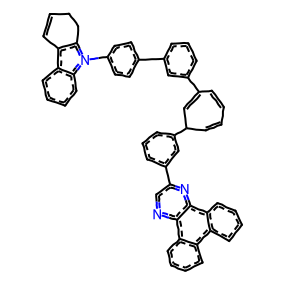 C1=CC(c2cccc(-c3ccc(-n4c5c(c6ccccc64)C=CCC5)cc3)c2)=CC(c2cccc(-c3cnc4c5ccccc5c5ccccc5c4n3)c2)C=C1